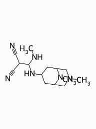 CNC(NC1CC2CN(C)CC(C1)N2C)C(C#N)C#N